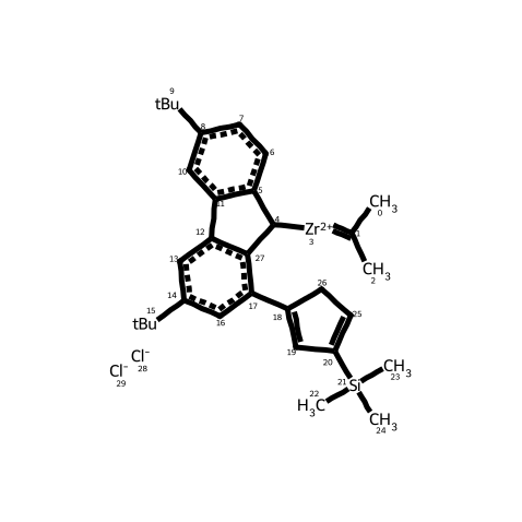 C[C](C)=[Zr+2][CH]1c2ccc(C(C)(C)C)cc2-c2cc(C(C)(C)C)cc(C3=CC([Si](C)(C)C)=CC3)c21.[Cl-].[Cl-]